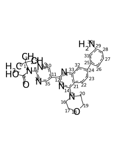 CC(C)(C)N(C(=O)O)c1ncc(-c2nc(N3CCOCC3)c3ccc(-c4cccc(N)c4)cc3n2)cn1